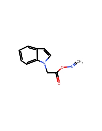 C=NOC(=O)Cn1ccc2ccccc21